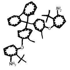 Cc1cc(C2(c3ccc(Oc4cccc(N)c4C(C)(C)C)c(C)c3)c3ccccc3-c3ccccc32)ccc1Oc1cccc(N)c1C(C)(C)C